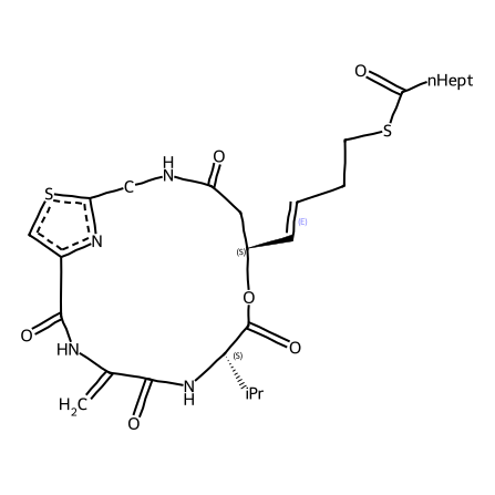 C=C1NC(=O)c2csc(n2)CNC(=O)C[C@@H](/C=C/CCSC(=O)CCCCCCC)OC(=O)[C@H](C(C)C)NC1=O